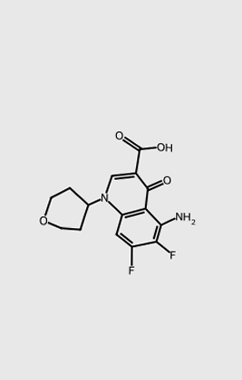 Nc1c(F)c(F)cc2c1c(=O)c(C(=O)O)cn2C1CCOCC1